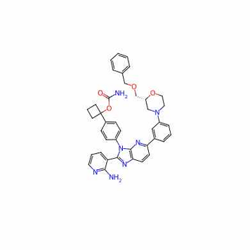 NC(=O)OC1(c2ccc(-n3c(-c4cccnc4N)nc4ccc(-c5cccc(N6CCO[C@@H](COCc7ccccc7)C6)c5)nc43)cc2)CCC1